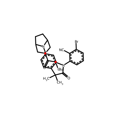 CC(C)(C)OC(=O)N1CC2CCC(C1)N2c1ccc2c(c1)N(c1cccc(Br)c1C#N)C(=O)C2(C)C